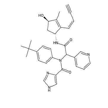 C#C/C=C\C1=C(C)[C@H](O)C[C@H]1NC(=O)C(c1cccnc1)N(C(=O)c1c[nH]cn1)c1ccc(C(C)(C)C)cc1